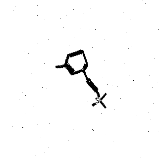 Cc1cccc(C#C[Si](C)(C)C)c1